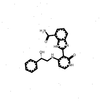 NC(=O)c1cccc2nc(-c3c(NC[C@@H](O)c4ccccc4)cc[nH]c3=O)[nH]c12